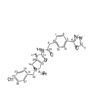 Cc1nnc(-c2ccc(CC(=O)Nc3nc4c(s3)CN(Cc3ccc(Cl)cc3)[C@H]4C(C)C)cc2)o1